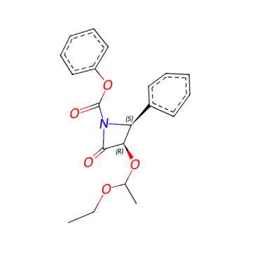 CCOC(C)O[C@H]1C(=O)N(C(=O)Oc2ccccc2)[C@H]1c1ccccc1